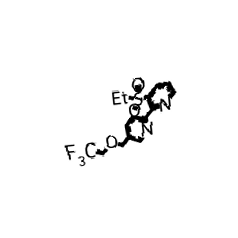 CCS(=O)(=O)c1cccnc1-c1ccc(COCC(F)(F)F)cn1